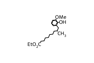 CCOC(=O)CCCCCCCC(C)Cc1cccc(OC)c1O